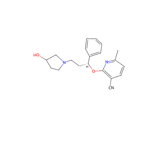 Cc1ccc(C#N)c(O[C@H](CCN2CCC(O)C2)c2ccccc2)n1